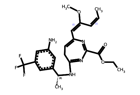 C/C=C\C(=C/C1=CCC(N[C@H](C)c2cc(N)cc(C(F)(F)F)c2)=NC(C(=O)OCC)=N1)OC